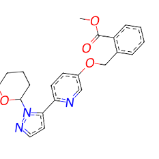 COC(=O)c1ccccc1COc1ccc(-c2ccnn2C2CCCCO2)nc1